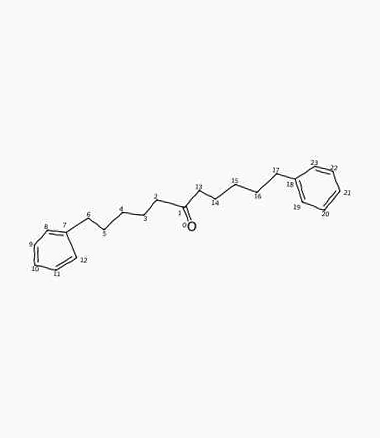 O=C(CCCCCc1ccccc1)CCCCCc1ccccc1